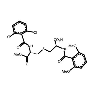 COC(=O)[C@@H](CSC[C@H](NC(=O)c1c(OC)cccc1OC)C(=O)O)NC(=O)c1c(Cl)cccc1Cl